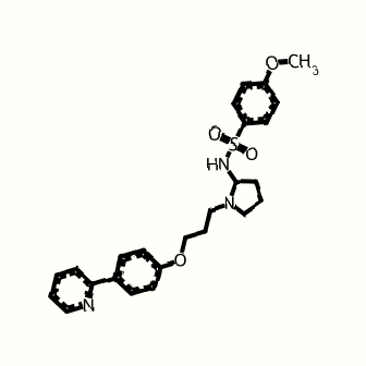 COc1ccc(S(=O)(=O)NC2CCCN2CCCOc2ccc(-c3ccccn3)cc2)cc1